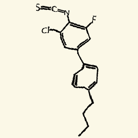 CCCCc1ccc(-c2cc(F)c(N=C=S)c(Cl)c2)cc1